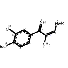 CN/C=C(/C)C(=N)c1ccc(OC)c(Cl)c1